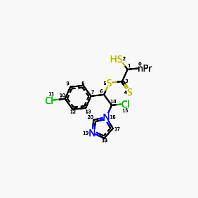 CCCC(S)C(=S)SC(c1ccc(Cl)cc1)C(Cl)n1ccnc1